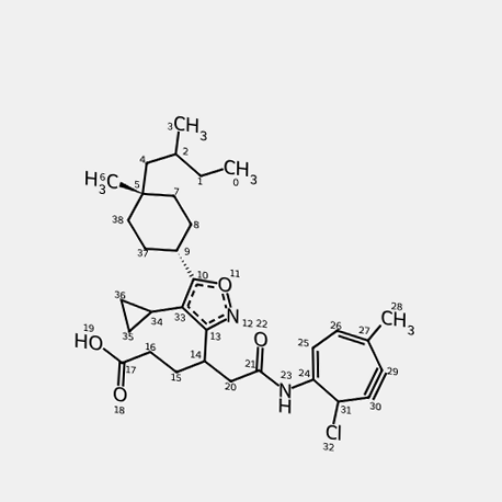 CCC(C)C[C@]1(C)CC[C@H](c2onc(C(CCC(=O)O)CC(=O)NC3=CC=C(C)C#CC3Cl)c2C2CC2)CC1